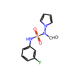 O=[C]N(n1cccc1)S(=O)(=O)Nc1cccc(F)c1